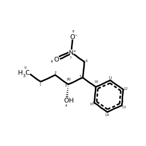 CCC[C@@H](O)C(C[N+](=O)[O-])c1ccccc1